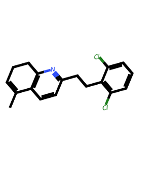 CC1=CCCc2nc(CCc3c(Cl)cccc3Cl)ccc21